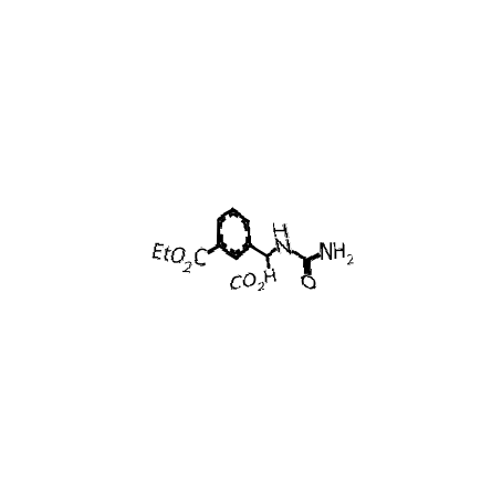 CCOC(=O)c1cccc(C(NC(N)=O)C(=O)O)c1